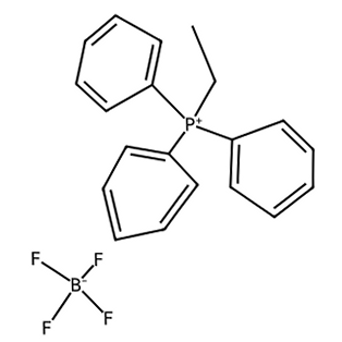 CC[P+](c1ccccc1)(c1ccccc1)c1ccccc1.F[B-](F)(F)F